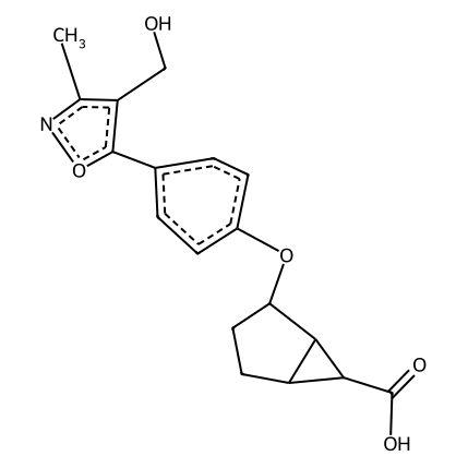 Cc1noc(-c2ccc(OC3CCC4C(C(=O)O)C34)cc2)c1CO